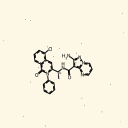 C[C@H](NC(=O)c1c(N)nn2cccnc12)c1cc2c(Cl)cccc2c(=O)n1-c1ccccc1